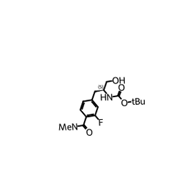 CNC(=O)c1ccc(C[C@@H](CO)NC(=O)OC(C)(C)C)cc1F